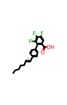 CCCCC/C=C/c1ccc(-c2c(C(=O)O)cc(F)c(F)c2F)cc1